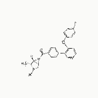 CC1[C@H]2C(CN1C#N)N2C(=O)c1ccc(-c2cnccc2Oc2ccc(F)cc2)cc1